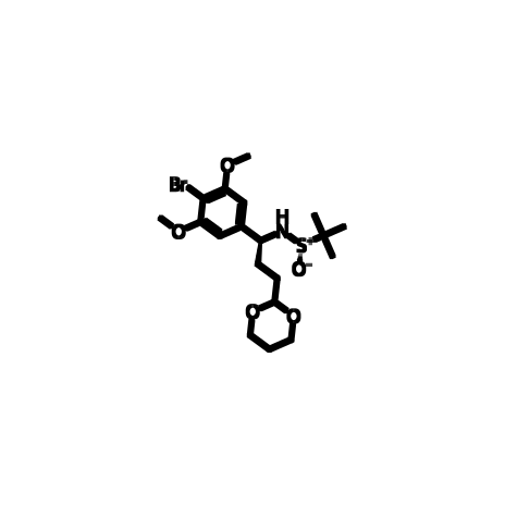 COc1cc([C@H](CCC2OCCCO2)N[S@@+]([O-])C(C)(C)C)cc(OC)c1Br